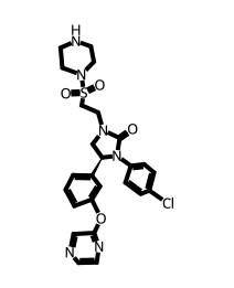 O=C1N(CCS(=O)(=O)N2CCNCC2)C[C@H](c2cccc(Oc3cnccn3)c2)N1c1ccc(Cl)cc1